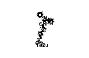 CC(C)(C)OP(OCn1cc(-c2nc(C(=O)Nc3cn(C4CCCCC4)nc3-c3cnccn3)co2)cn1)OC(C)(C)C